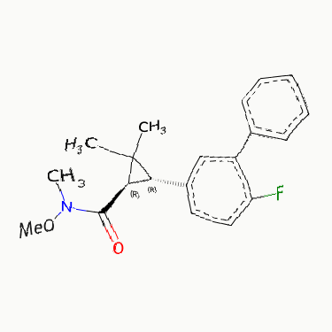 CON(C)C(=O)[C@@H]1[C@@H](c2ccc(F)c(-c3ccccc3)c2)C1(C)C